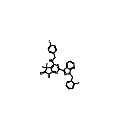 CC1(C)C(=O)Nc2nc(-c3nn(Cc4ccccc4F)c4ncccc34)nc(NCc3ccc(F)cc3)c21